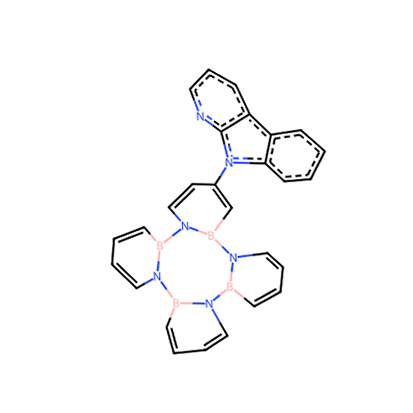 C1=CB2N(C=C1)B1C=CC=CN1B1C=C(n3c4ccccc4c4cccnc43)C=CN1B1C=CC=CN21